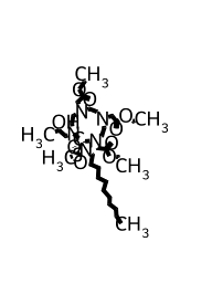 CCCCCCCCCCCN(C1CN(CC(C)O)CCN(CC(=O)OCC)CCN(CC(=O)OCC)CCN1CC(=O)OCC)S(C)(=O)=O